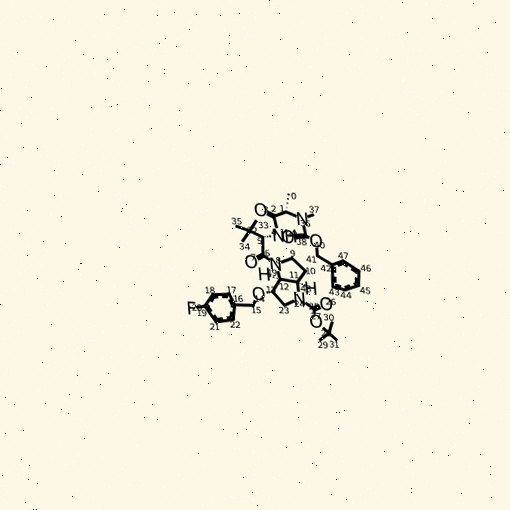 C[C@@H](C(=O)N[C@H](C(=O)N1CC[C@@H]2[C@H]1[C@@H](OCc1ccc(F)cc1)CN2C(=O)OC(C)(C)C)C(C)(C)C)N(C)C(=O)OCc1ccccc1